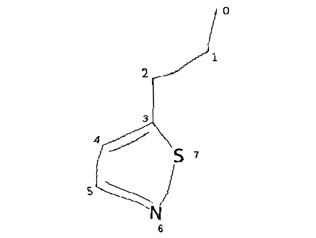 CCCc1ccns1